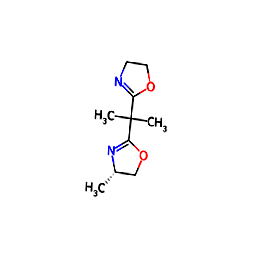 C[C@H]1COC(C(C)(C)C2=NCCO2)=N1